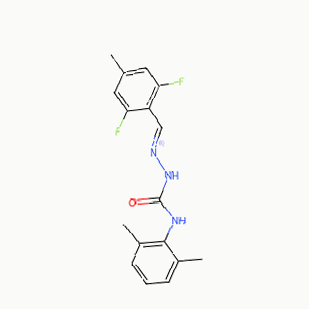 Cc1cc(F)c(/C=N/NC(=O)Nc2c(C)cccc2C)c(F)c1